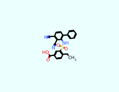 CCc1ccc(C(=O)O)cc1S(=O)(=O)Nc1c(-c2ccccc2)ccc(C#N)c1C#N